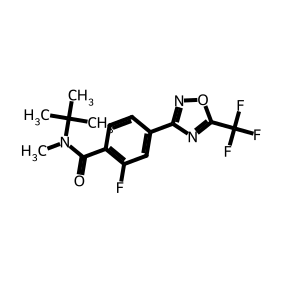 CN(C(=O)c1ccc(-c2noc(C(F)(F)F)n2)cc1F)C(C)(C)C